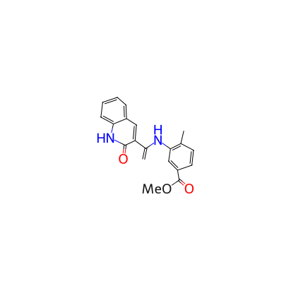 C=C(Nc1cc(C(=O)OC)ccc1C)c1cc2ccccc2[nH]c1=O